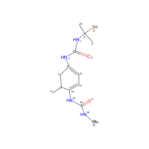 CC1CC(NC(=O)NC(C)(C)S)=CC=C1NC(=O)NC(C)(C)C